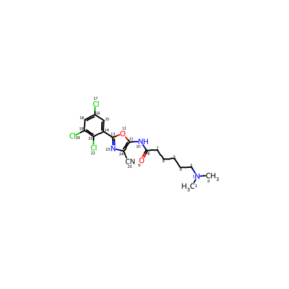 CN(C)CCCCCC(=O)Nc1oc(-c2cc(Cl)cc(Cl)c2Cl)nc1C#N